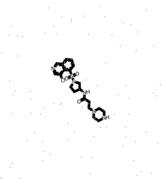 O=C(CCN1CCNCC1)NC1CCN(S(=O)(=O)c2cccc3cncc(Cl)c23)C1